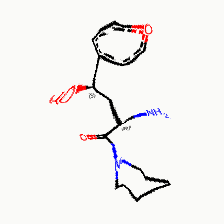 N[C@@H](C(=O)N1CCCC1)[C@@H](O)c1ccoc1